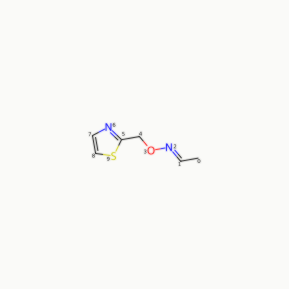 CC=NOCc1nccs1